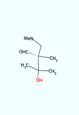 CNC[C@](C)(C=O)C(C)(C)O